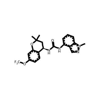 Cn1ncc2c(NC(=O)N[C@@H]3CC(C)(C)Oc4cc(OC(F)(F)F)ccc43)cccc21